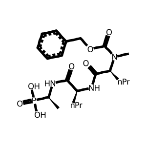 CCC[C@H](NC(=O)[C@H](CCC)N(C)C(=O)OCc1ccccc1)C(=O)N[C@@H](C)P(=O)(O)O